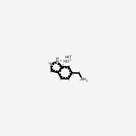 Cl.Cl.NCc1ccc2cn[nH]c2c1